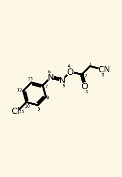 N#CCC(=O)ON=Nc1ccc(Cl)cc1